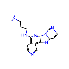 CN(C)CCCNc1nc2c(nc3ccncn32)c2cnccc12